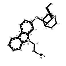 CC=C1C(Oc2ccc3c4ccccc4n(CCN)c3c2)C2CCN1CC2